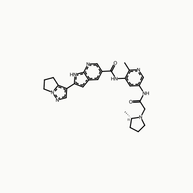 Cc1ncc(NC(=O)CN2CCC[C@@H]2C)cc1NC(=O)c1cnc2[nH]c(-c3cnn4c3CCC4)cc2c1